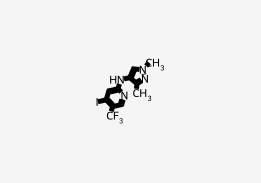 Cc1nn(C)cc1Nc1cc(I)c(C(F)(F)F)cn1